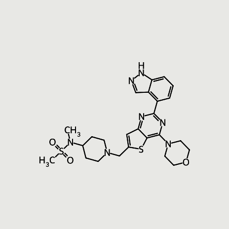 CN(C1CCN(Cc2cc3nc(-c4cccc5[nH]ncc45)nc(N4CCOCC4)c3s2)CC1)S(C)(=O)=O